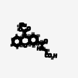 CC(C)(C)OC(=O)N1c2ccccc2Oc2cc(C(=O)NCC(=O)O)ccc21